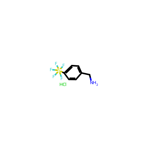 Cl.NCc1ccc(S(F)(F)(F)(F)F)cc1